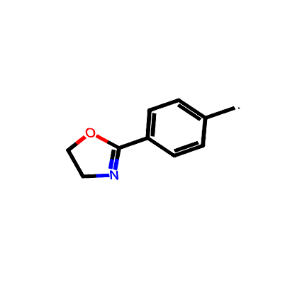 [CH2]c1ccc(C2=NCCO2)cc1